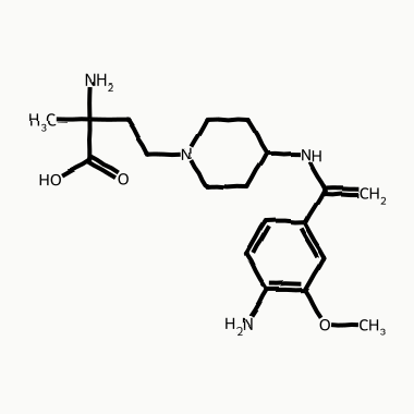 C=C(NC1CCN(CCC(C)(N)C(=O)O)CC1)c1ccc(N)c(OC)c1